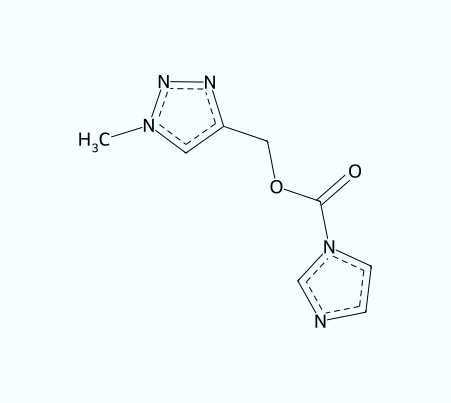 Cn1cc(COC(=O)n2ccnc2)nn1